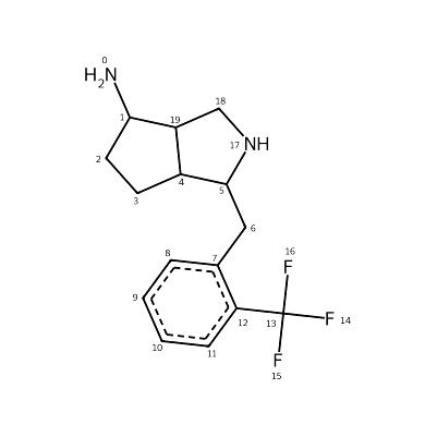 NC1CCC2C(Cc3ccccc3C(F)(F)F)NCC12